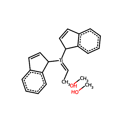 CO.CO.C[CH]=[Ti]([CH]1C=Cc2ccccc21)[CH]1C=Cc2ccccc21